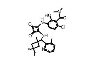 Cc1cccnc1[C@H](Nc1c(Nc2ccc(Cl)c(C(=O)N(C)C)c2O)c(=O)c1=O)C1(C)CC(F)(F)C1